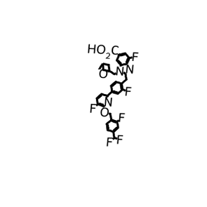 O=C(O)c1cc(F)c2nc(Cc3ccc(-c4ccc(F)c(OCc5ccc(C(F)F)cc5F)n4)cc3F)n(CC34CC(CO3)C4)c2c1